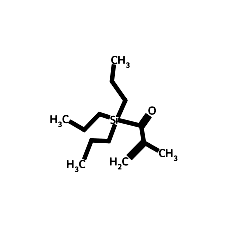 C=C(C)C(=O)[Si](CCC)(CCC)CCC